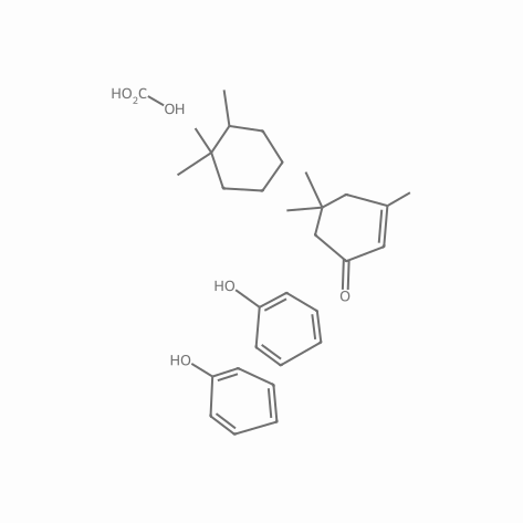 CC1=CC(=O)CC(C)(C)C1.CC1CCCCC1(C)C.O=C(O)O.Oc1ccccc1.Oc1ccccc1